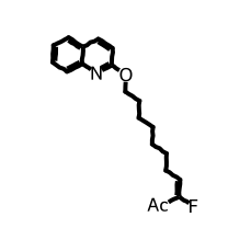 CC(=O)/C(F)=C\CCCCCCCOc1ccc2ccccc2n1